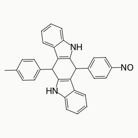 Cc1ccc(C2c3[nH]c4ccccc4c3C(c3ccc(N=O)cc3)c3[nH]c4ccccc4c32)cc1